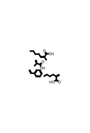 C=C(C)C(=O)O.C=C(CCCC)C(=O)O.C=Cc1ccccc1.CCCCC=C(C)C(=O)O